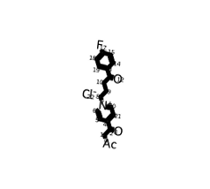 CC(=O)CC(=O)c1cc[n+](CCCC(=O)c2ccc(F)cc2)cc1.[Cl-]